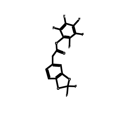 O=C(Cc1ccc2c(c1)OC(F)(F)O2)Oc1c(F)c(F)c(F)c(F)c1F